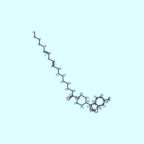 CCCCC/C=C/C/C=C/CCCCCCCC(=O)N1CCC(c2noc3cc(F)ccc23)CC1